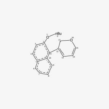 CCCCOc1ccc2ccccc2c1C1=CC=CO[C]1